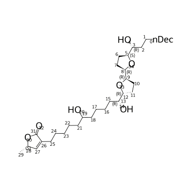 CCCCCCCCCCCC[C@@H](O)[C@@H]1CC[C@H]([C@H]2CC[C@H]([C@H](O)CCCCC(O)CCCCCC3=C[C@H](C)OC3=O)O2)O1